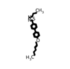 CCCCC=CCOc1ccc(-c2ccc(-c3nnc(CCC)s3)cc2)cc1